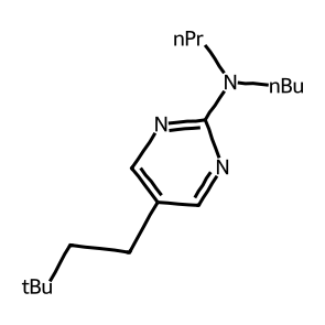 CCCCN(CCC)c1ncc(CCC(C)(C)C)cn1